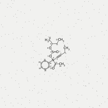 CCC#C[N+](OS(=O)OC(C)CC)(C(C)=O)c1ccccc1